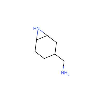 NCC1CCC2NC2C1